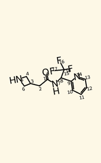 O=C(CC1CNC1)NC(c1ccccn1)C(F)(F)F